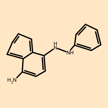 Nc1ccc(NNc2ccccc2)c2ccccc12